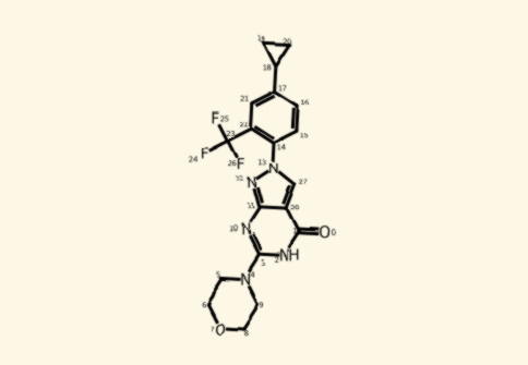 O=c1[nH]c(N2CCOCC2)nc2nn(-c3ccc(C4CC4)cc3C(F)(F)F)cc12